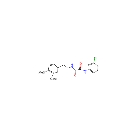 COc1ccc(CCNC(=O)C(=O)Nc2cccc(Cl)c2)cc1OC